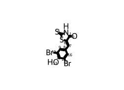 O=C1NC(=S)S/C1=C\c1cc(Br)c(O)c(Br)c1